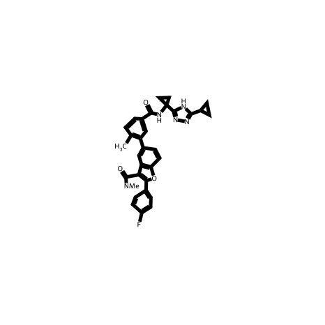 CNC(=O)c1c(-c2ccc(F)cc2)oc2ccc(-c3cc(C(=O)NC4(c5nnc(C6CC6)[nH]5)CC4)ccc3C)cc12